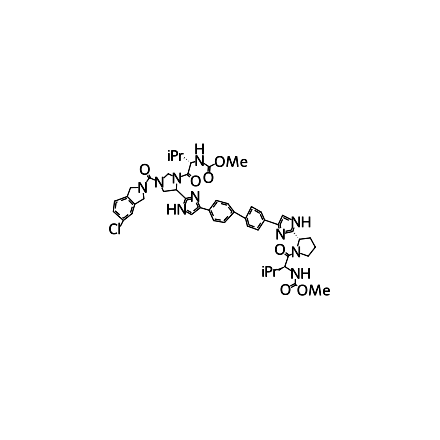 COC(=O)N[C@H](C(=O)N1CN(C(=O)N2Cc3ccc(Cl)cc3C2)CC1c1nc(-c2ccc(-c3ccc(-c4c[nH]c([C@@H]5CCCN5C(=O)[C@@H](NC(=O)OC)C(C)C)n4)cc3)cc2)c[nH]1)C(C)C